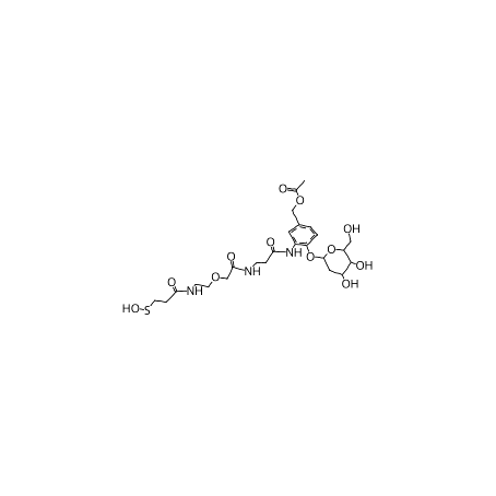 CC(=O)OCc1ccc(OC2CC(O)C(O)C(CO)O2)c(NC(=O)CCNC(=O)COCCNC(=O)CCSO)c1